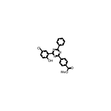 COC(=O)c1ccc(-c2nc(-c3ccccc3)nc(-c3cc(Cl)ccc3O)n2)cc1